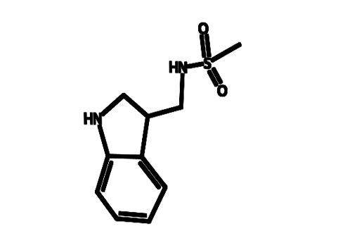 CS(=O)(=O)NCC1CNc2ccccc21